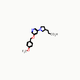 O=C(O)CCC1CCN(c2cncc(OCc3ccc(OC(F)(F)F)cc3)c2)C1